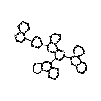 C1=Cc2cc(-c3cc(-c4cc5ccccc5c5ccccc45)nc4c3cc(-c3ccc(-c5ccnc6ccccc56)cc3)c3ccccc34)c3ccccc3c2CC1